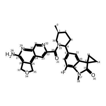 C[C@H]1CCC(c2cc(F)c3c(c2)C2(CC2)C(=O)N3C)N(C(=O)c2cc3c4c(c(N)nc3cn2)COC4)C1